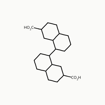 O=C(O)C1CCC2CCCC(C3CCCC4CCC(C(=O)O)CC43)C2C1